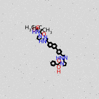 COC(=O)N[C@H](C(=O)N1CCC[C@H]1c1ncc(-c2ccc3cc(-c4ccc(-c5cnc(C6CCCN6C(=O)[C@H](O)c6ccccc6)[nH]5)cc4)ccc3c2)[nH]1)C(C)C